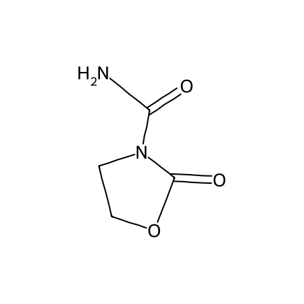 NC(=O)N1CCOC1=O